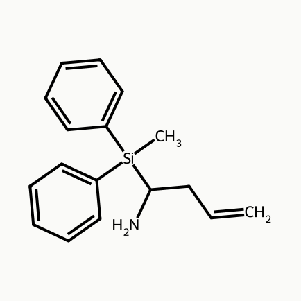 C=CCC(N)[Si](C)(c1ccccc1)c1ccccc1